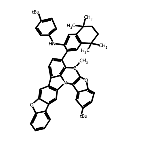 CB1c2oc3ccc(C(C)(C)C)cc3c2-n2c3cc4c(cc3c3ccc(-c5cc6c(cc5Nc5ccc(C(C)(C)C)cc5)C(C)(C)CCC6(C)C)c1c32)oc1ccccc14